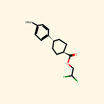 CCCCCCCCCc1ccc([C@H]2CC[C@H](C(=O)OCC(F)F)CC2)cc1